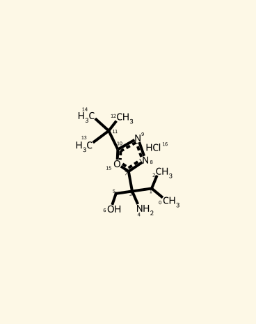 CC(C)C(N)(CO)c1nnc(C(C)(C)C)o1.Cl